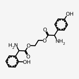 NC(C(=O)OCCOC(=O)C(N)c1ccccc1O)c1ccc(O)cc1